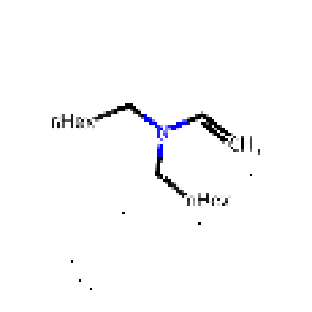 C=CN(CCCCCCC)CCCCCCC